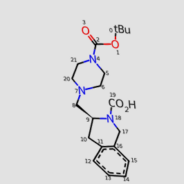 CC(C)(C)OC(=O)N1CCN(C[C@@H]2Cc3ccccc3CN2C(=O)O)CC1